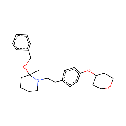 CC1(OCc2ccccc2)CCCCN1CCc1ccc(OC2CCOCC2)cc1